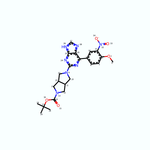 COc1ccc(-c2nc(N3CC4CN(C(=O)OC(C)(C)C)CC4C3)nc3[nH]cnc23)cc1[N+](=O)[O-]